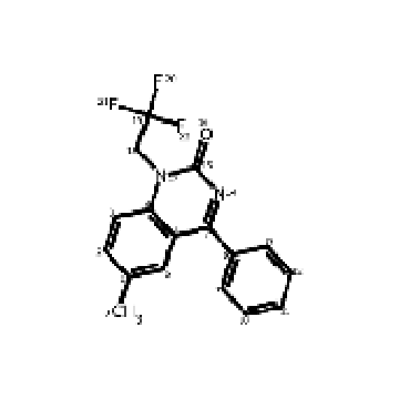 Cc1ccc2c(c1)c(-c1ccccc1)nc(=O)n2CC(F)(F)F